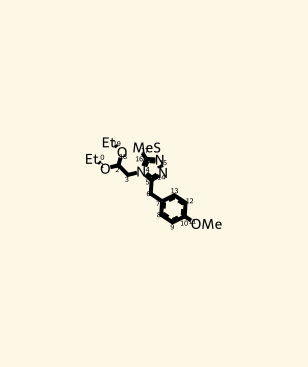 CCOC(Cn1c(Cc2ccc(OC)cc2)nnc1SC)OCC